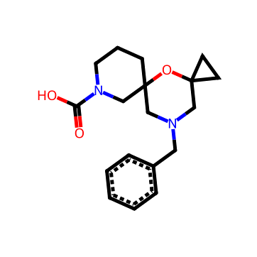 O=C(O)N1CCCC2(CN(Cc3ccccc3)CC3(CC3)O2)C1